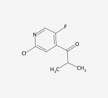 CC(C)C(=O)c1cc(Cl)ncc1F